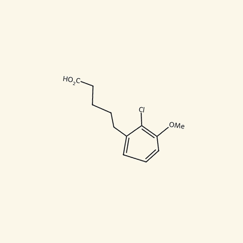 COc1cccc(CCCCC(=O)O)c1Cl